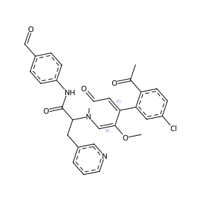 COC(=C/N(C)C(Cc1cccnc1)C(=O)Nc1ccc(C=O)cc1)/C(=C\C=O)c1cc(Cl)ccc1C(C)=O